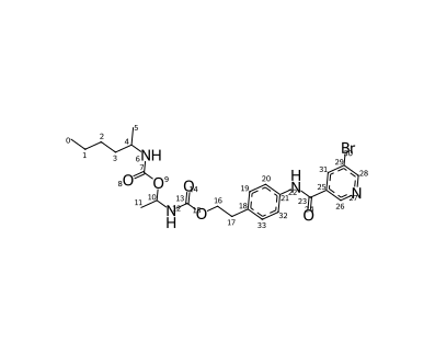 CCCCC(C)NC(=O)OC(C)NC(=O)OCCc1ccc(NC(=O)c2cncc(Br)c2)cc1